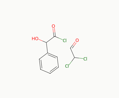 O=C(Cl)C(O)c1ccccc1.O=CC(Cl)Cl